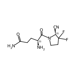 N#C[C@@H]1N(C(=O)[C@@H](N)CCC(N)=O)CCC1(F)F